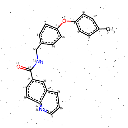 Cc1ccc(Oc2ccc(CNC(=O)c3ccc4ncccc4c3)cc2)cc1